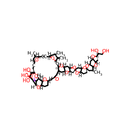 C=C1C[C@@H]2CC[C@]34OC([C@@H]5O[C@H]6CC[C@H](CC(=O)C[C@@H]7C[C@@H]8O[C@@H]9C[C@]%10(C[C@@H]%11O[C@@]%12(CC[C@@H]%11O%10)C[C@H](C)[C@@H]%10O[C@@H]%11C[C@@H]([C@@H](O)CO)O[C@@H]%11C[C@@H]%10O%12)O[C@@H]9C[C@@H]8O[C@H]7C[C@H]7O[C@@H](CC[C@@H]1O2)C[C@@H](C)C7=C)O[C@@H]6[C@H](O3)C5I)C(O)(O)[C@H]4O